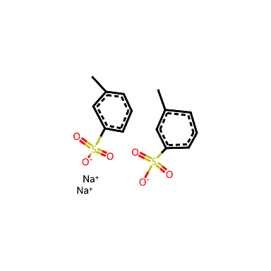 Cc1cccc(S(=O)(=O)[O-])c1.Cc1cccc(S(=O)(=O)[O-])c1.[Na+].[Na+]